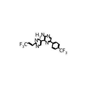 Nc1ncc(-c2ccc(C(F)(F)F)cc2)nc1-c1cnc(C=CC(F)(F)F)nc1